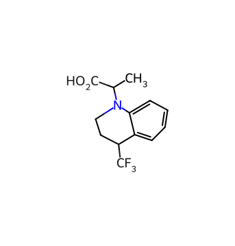 CC(C(=O)O)N1CCC(C(F)(F)F)c2ccccc21